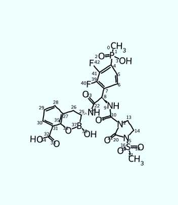 CP(=O)(O)c1ccc([C@@H](NC(=O)N2CCN(S(C)(=O)=O)C2=O)C(=O)N[C@H]2Cc3cccc(C(=O)O)c3OB2O)c(F)c1F